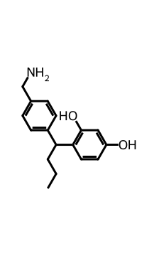 CCCC(c1ccc(CN)cc1)c1ccc(O)cc1O